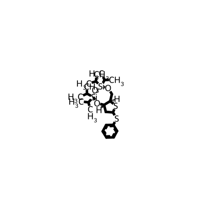 CC(C)[Si]1(C(C)C)OC[C@H]2SC(Sc3ccccc3)C[C@@H]2O[Si](C(C)C)(C(C)C)O1